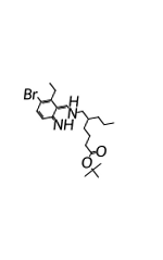 CCCC(CCCC(=O)OC(C)(C)C)CN/C=C1\C(=N)C=CC(Br)=C1CC